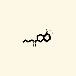 CCCCNC1CCc2c(N)cccc2C1